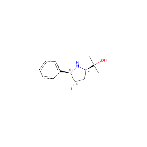 C[C@H]1C[C@H](C(C)(C)O)N[C@@H]1c1ccccc1